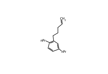 C=CCCCc1cc(CCC)ccc1CCC